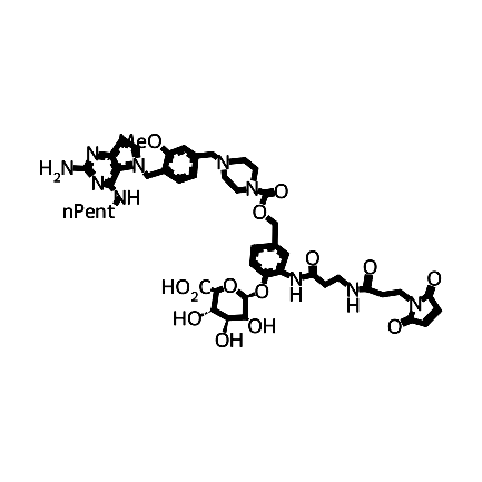 CCCCCNc1nc(N)nc2ccn(Cc3ccc(CN4CCN(C(=O)OCc5ccc(O[C@@H]6O[C@H](C(=O)O)[C@@H](O)[C@H](O)[C@H]6O)c(NC(=O)CCNC(=O)CCN6C(=O)C=CC6=O)c5)CC4)cc3OC)c12